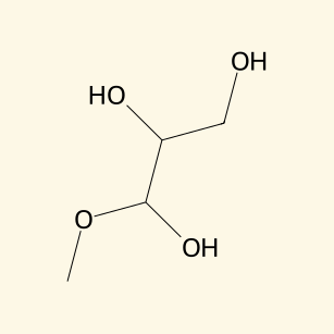 COC(O)C(O)CO